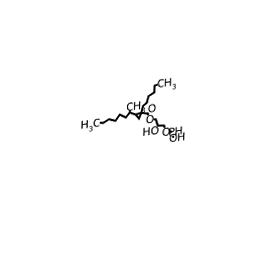 CCCCCCC(C)C1CC1(CCCCCC)C(=O)OC[C@@H](O)COPO